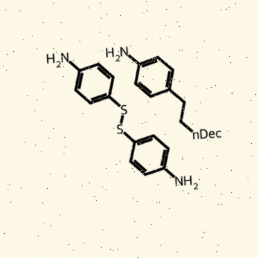 CCCCCCCCCCCCc1ccc(N)cc1.Nc1ccc(SSc2ccc(N)cc2)cc1